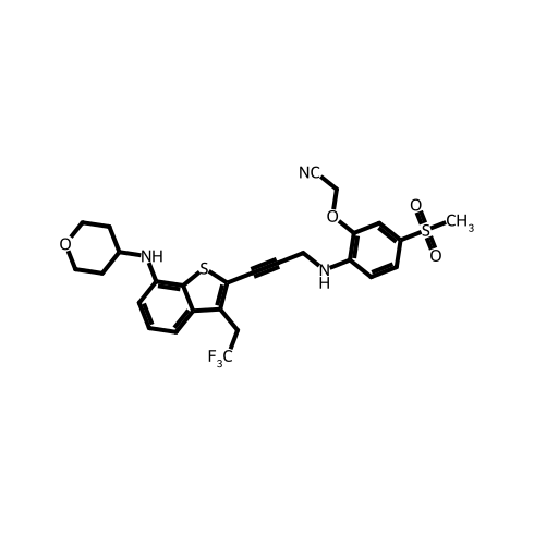 CS(=O)(=O)c1ccc(NCC#Cc2sc3c(NC4CCOCC4)cccc3c2CC(F)(F)F)c(OCC#N)c1